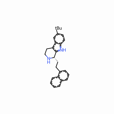 CC(C)(C)c1ccc2[nH]c3c(c2c1)CCN[C@H]3CCc1cccc2ccccc12